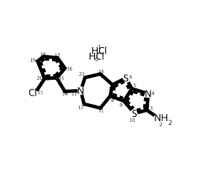 Cl.Cl.Nc1nc2sc3c(c2s1)CCN(Cc1ccccc1Cl)CC3